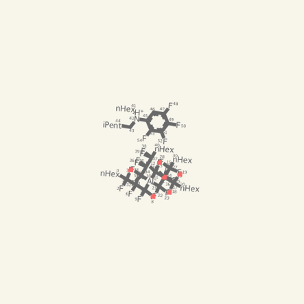 CCCCCCC(F)(F)C(F)(F)[C](F)(F)[Al-]([C](F)(F)C(F)(F)C(F)(F)CCCCCC)([C](F)(F)C(F)(F)C(F)(F)CCCCCC)[C](F)(F)C(F)(F)C(F)(F)CCCCCC.CCCCCC[NH+](CC(C)CCC)c1cc(F)c(F)c(F)c1F